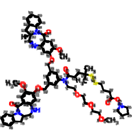 COCCOCCOCCN(C(=O)CCC(C)(C)SSCCCC(=O)ON1CCCC1)c1cc(COc2cc3c(cc2OC)C(=O)N2c4ccccc4C[C@H]2C=N3)cc(COc2cc3c(cc2OC)C(=O)N2c4ccccc4CC2CN3)c1